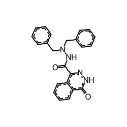 O=C(NN(Cc1ccccc1)Cc1ccccc1)c1n[nH]c(=O)c2ccccc12